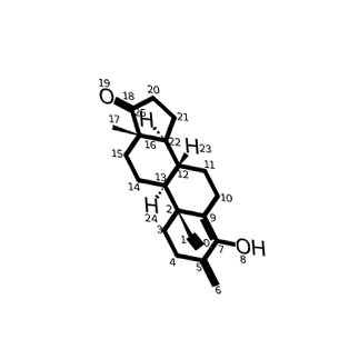 C#C[C@]12CCC(=C)C(O)=C1CC[C@@H]1[C@@H]2CC[C@]2(C)C(=O)CC[C@@H]12